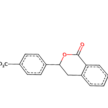 O=C(O)c1ccc(C2Cc3ccccc3C(=O)O2)cc1